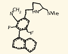 C=Nc1c(CC2CCC(CNC)N2)cc(F)c(-c2cccc3ccccc23)c1F